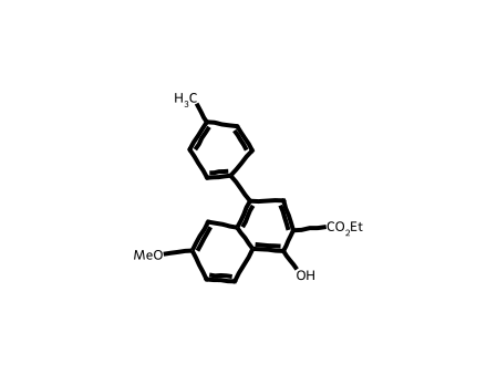 CCOC(=O)c1cc(-c2ccc(C)cc2)c2cc(OC)ccc2c1O